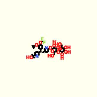 CC(C)(O)c1ccc([C@@H](Cc2ccc(O[C@@H]3OC(CO)[C@@H](O[C@@H]4OC(CO)[C@@H](O)C(O)[C@@H]4O)[C@@H](O)C3O)nc2)c2ccc(OC(F)F)c(OC3CC3)c2)cn1